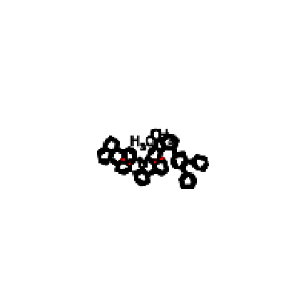 CC1(C)c2cc(N(c3ccc(-c4cccc5cccc(-c6ccccc6)c45)cc3)c3ccccc3-c3ccccc3)ccc2-c2c(-c3ccc(-c4ccccc4)c(-c4ccccc4)c3)cccc21